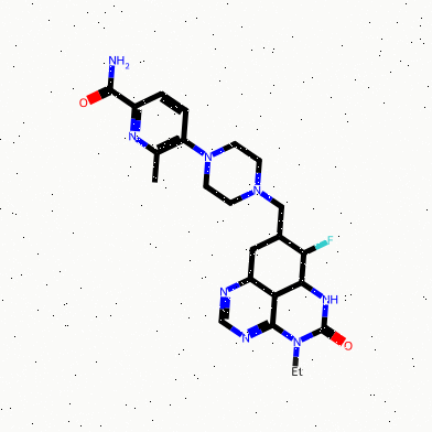 CCN1C(=O)NC2C(F)C(CN3CCN(c4ccc(C(N)=O)nc4C)CC3)CC3N=CN=C1C32